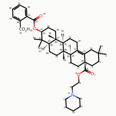 CC1(C)CC[C@]2(C(=O)OCCN3CCCCC3)CC[C@]3(C)C(=C2C1)CC[C@@H]1[C@@]2(C)CC[C@H](OC(=O)c4ccccc4C(=O)O)C(C)(C)[C@@H]2CC[C@]13C